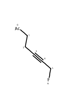 CC(=O)CCC#CCF